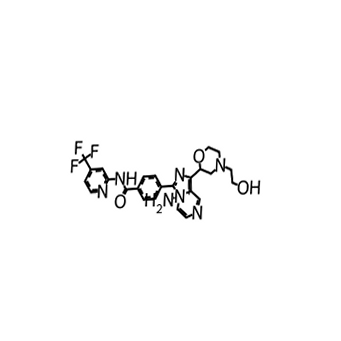 N[N+]12C=CN=CC1=C(C1CN(CCO)CCO1)N=C2c1ccc(C(=O)Nc2cc(C(F)(F)F)ccn2)cc1